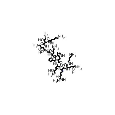 N=C(N)NCC/C=C(\NC(=O)C(CCC(O)CN)NC(=O)C(Cc1cnc[nH]1)NC(=O)C1CCCN1C(=O)C(CCCN)NC(=O)CNC(=O)C(NC(=O)C(NC(=O)C(N)CCCCN)C(O)CN)C(O)CN)C(=O)NC(CCC(O)CN)C(=O)NCCCCN